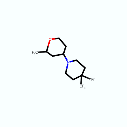 CC(C)C1(C(F)(F)F)CCN(C2CCOC(C(F)(F)F)C2)CC1